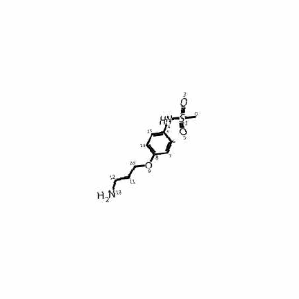 CS(=O)(=O)Nc1ccc(OCCCN)cc1